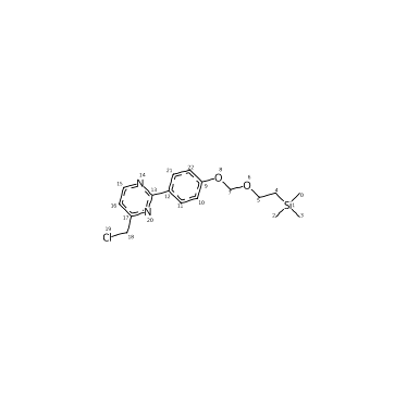 C[Si](C)(C)CCOCOc1ccc(-c2nccc(CCl)n2)cc1